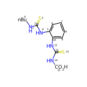 CCCCNC(=S)Nc1ccccc1NC(=S)NC(=O)O